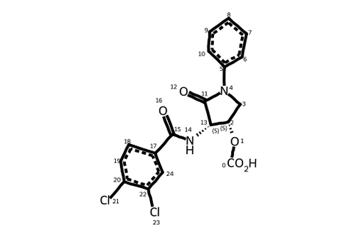 O=C(O)O[C@H]1CN(c2ccccc2)C(=O)[C@H]1NC(=O)c1ccc(Cl)c(Cl)c1